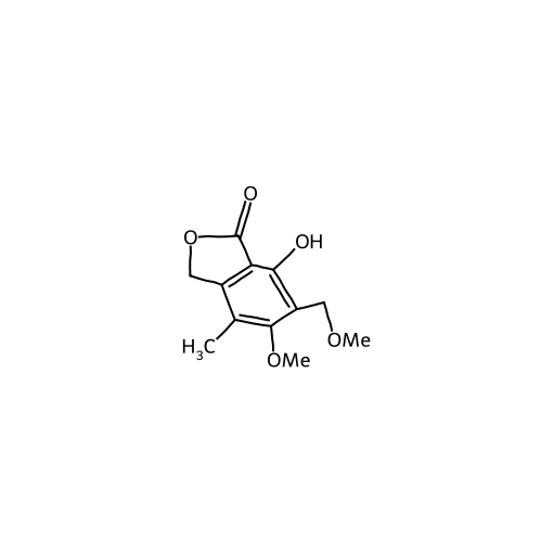 COCc1c(O)c2c(c(C)c1OC)COC2=O